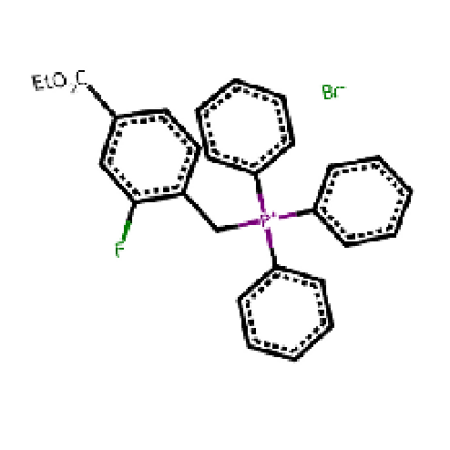 CCOC(=O)c1ccc(C[P+](c2ccccc2)(c2ccccc2)c2ccccc2)c(F)c1.[Br-]